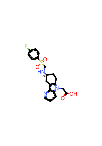 O=C(O)Cn1c2c(c3ncccc31)C[C@@H](NCS(=O)(=O)c1ccc(F)cc1)CC2